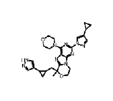 CC1(CC2CC2c2cn[nH]c2)OCCn2c1nc1c(N3CCOCC3)nc(-n3cc(C4CC4)cn3)nc12